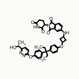 CCC(CC)(c1ccc(Oc2ccc([C@@H](C)O)nn2)cc1)c1ccc(OC2CC(Nc3ccc4c(c3)C(=O)N(C3CCC(=O)NC3=O)C4=O)C2)cc1